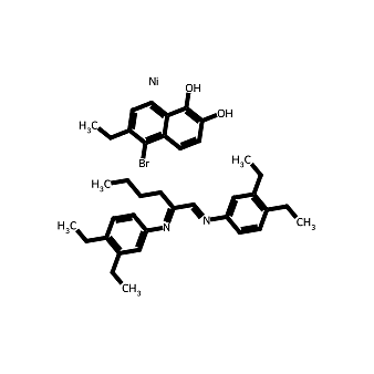 CCCCC(C=Nc1ccc(CC)c(CC)c1)=Nc1ccc(CC)c(CC)c1.CCc1ccc2c(O)c(O)ccc2c1Br.[Ni]